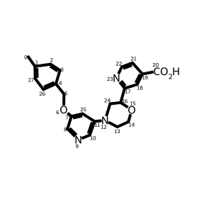 Cc1ccc(COc2cncc(N3CCOC(c4cc(C(=O)O)ccn4)C3)c2)cc1